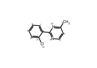 Cc1ccnc(-c2ccccc2Cl)n1